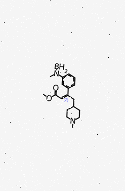 BN(C)c1cccc(/C(=C\C(=O)OC)CC2CCN(C)CC2)c1